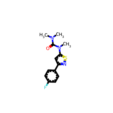 CN(C)C(=O)N(C)c1cc(-c2ccc(F)cc2)ns1